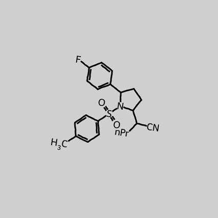 CCCC(C#N)C1CCC(c2ccc(F)cc2)N1S(=O)(=O)c1ccc(C)cc1